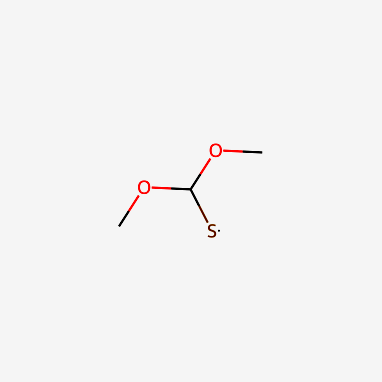 COC([S])OC